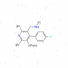 CCCCCc1c(C(C)C)nc(C(C)C)c(CNCC)c1-c1ccc(F)cc1